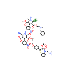 COC(=O)C1=C(C#N)NC(C)=C(C(=O)OC(C)C)C1c1cccc([N+](=O)[O-])c1.COC(=O)C1=C(C)NC(C)=C(C(=O)OCCN(C)Cc2ccccc2)C1c1cccc([N+](=O)[O-])c1.COc1ccc([C@@H]2Sc3ccccc3N(CCN(C)C)C(=O)[C@@H]2OC(C)=O)cc1.Cl.Cl